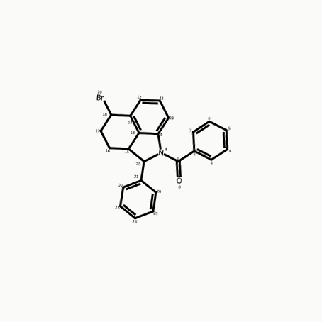 O=C(c1ccccc1)N1c2cccc3c2C(CCC3Br)C1c1ccccc1